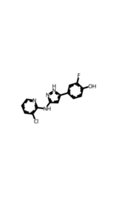 Oc1ccc(-c2cc(Nc3ncccc3Cl)n[nH]2)cc1F